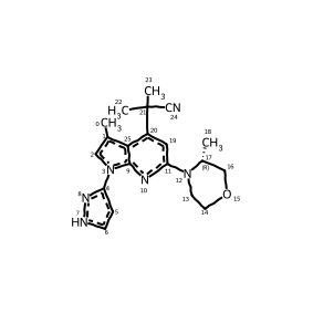 Cc1cn(-c2cc[nH]n2)c2nc(N3CCOC[C@H]3C)cc(C(C)(C)C#N)c12